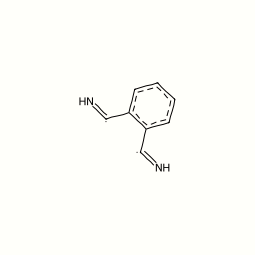 N=[C]c1ccccc1[C]=N